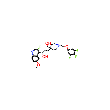 COc1ccc2ncc(F)c([C@@H](O)CCC3(CO)CCN(CCOc4cc(F)c(F)c(F)c4)CC3)c2c1